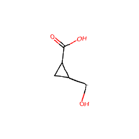 O=C(O)C1CC1[CH]O